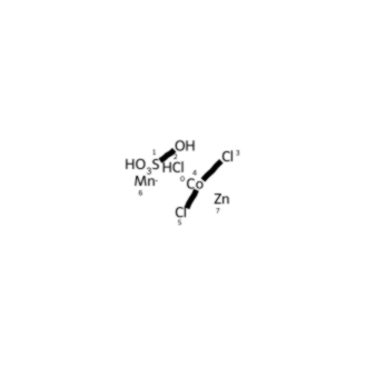 Cl.O=S(=O)(O)O.[Cl][Co][Cl].[Mn].[Zn]